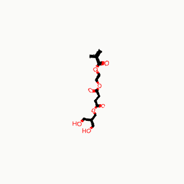 C=C(C)C(=O)OCCOC(=O)CCC(=O)OCC(CO)CO